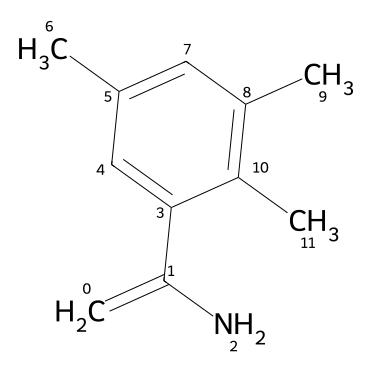 C=C(N)c1cc(C)cc(C)c1C